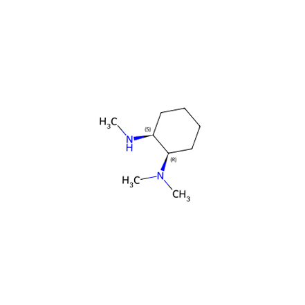 CN[C@H]1CCCC[C@H]1N(C)C